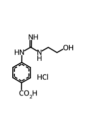 Cl.N=C(NCCO)Nc1ccc(C(=O)O)cc1